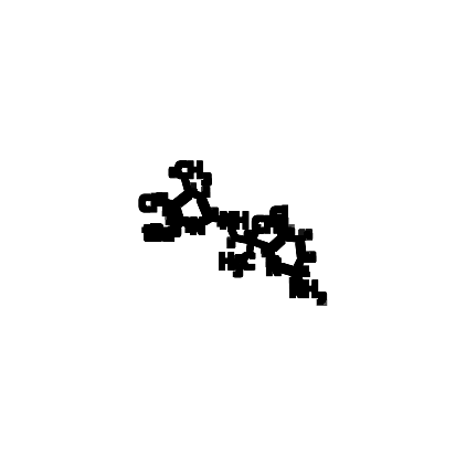 Cc1cc(NCC(C)(C)c2nc(N)ccc2Cl)nc(C(C)(C)C)c1Cl